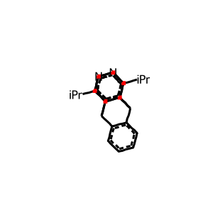 CC(C)c1nnc(C(C)C)c2c1C1c3ccccc3C2c2ccccc21